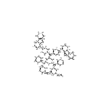 Cc1cccc(N(c2ccccc2)c2cc(N(c3ccc(-c4cccc5c4sc4ccccc45)cc3)c3ccc(-c4cccc5c4sc4ccccc45)cc3)cc(N(c3ccccc3)c3cccc(C)c3)c2)c1